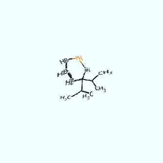 CC(C)C1(C(C)C)BBBPB1